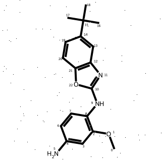 COc1cc(N)ccc1Nc1nc2cc(C(C)(C)C)ccc2o1